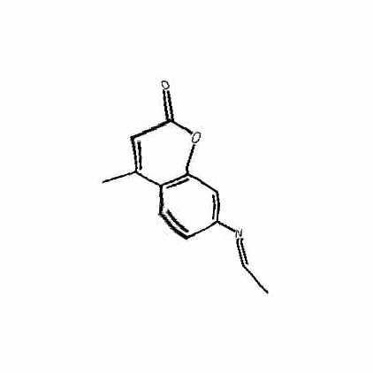 C/C=N/c1ccc2c(C)cc(=O)oc2c1